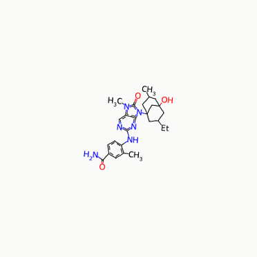 CCC1CC2(O)CC(C)CC(n3c(=O)n(C)c4cnc(Nc5ccc(C(N)=O)cc5C)nc43)(C1)C2